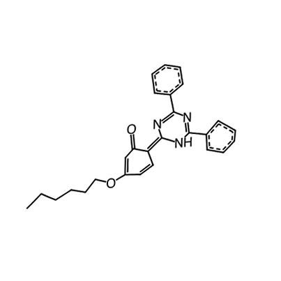 CCCCCCOC1=CC(=O)/C(=C2\N=C(c3ccccc3)N=C(c3ccccc3)N2)C=C1